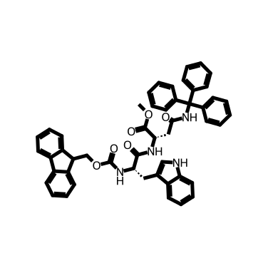 COC(=O)[C@H](CC(=O)NC(c1ccccc1)(c1ccccc1)c1ccccc1)NC(=O)[C@H](Cc1c[nH]c2ccccc12)NC(=O)OCC1c2ccccc2-c2ccccc21